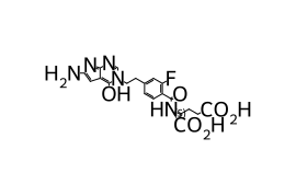 Nc1cc2c(O)n(CCc3ccc(C(=O)N[C@@H](CCC(=O)O)C(=O)O)c(F)c3)cnc-2n1